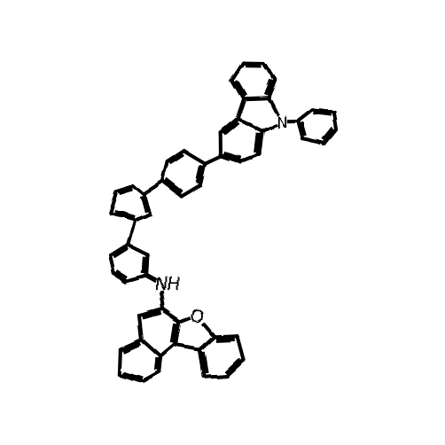 c1ccc(-n2c3ccccc3c3cc(-c4ccc(-c5cccc(-c6cccc(Nc7cc8ccccc8c8c7oc7ccccc78)c6)c5)cc4)ccc32)cc1